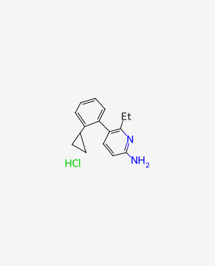 CCc1nc(N)ccc1-c1ccccc1C1CC1.Cl